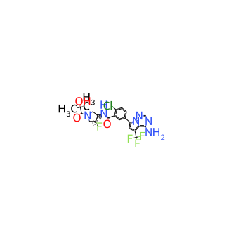 CC(C)(O)C(=O)N1C[C@H](F)[C@H](NC(=O)c2cc(-c3cc(C(F)(F)F)c4c(N)ncnn34)ccc2Cl)C1